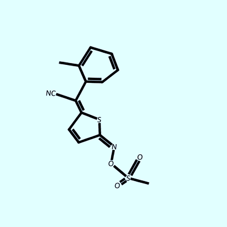 Cc1ccccc1/C(C#N)=C1C=C/C(=N\OS(C)(=O)=O)S/1